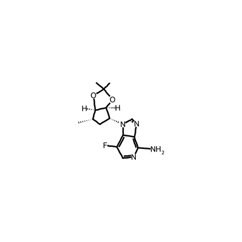 C[C@H]1C[C@@H](n2cnc3c(N)ncc(F)c32)[C@@H]2OC(C)(C)O[C@@H]21